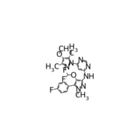 COc1c(C)nn(-c2cc(Nc3nn(C)c(-c4ccc(F)cc4)c3OC(F)F)ncn2)c1C